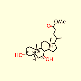 COC(=O)CCC(C)C1CCC2C3C(CC[C@]12C)[C@@]1(C)CC[C@@H](O)C[C@H]1C[C@@H]3O